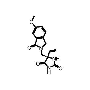 C=C[C@]1(CN2Cc3ccc(OC)cc3C2=O)NC(=O)NC1=O